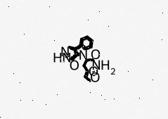 NC(=O)C(CC1=CCOO1)n1c2ccccc2c2cn[nH]c(=O)c21